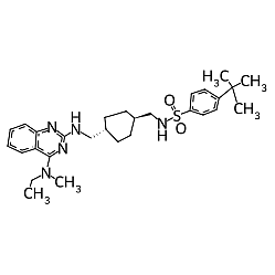 CCN(C)c1nc(NC[C@H]2CC[C@H](CNS(=O)(=O)c3ccc(C(C)(C)C)cc3)CC2)nc2ccccc12